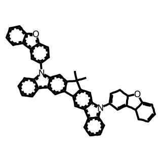 CC1(C)c2cc3c(cc2-c2cc4c5ccccc5n(-c5ccc6oc7ccccc7c6c5)c4cc21)c1ccccc1n3C1=CCC2OC3=CC=CCC3C2=C1